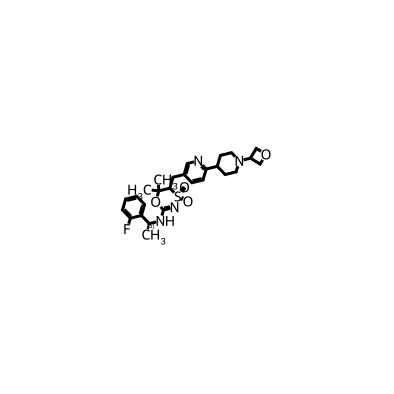 C[C@H](NC1=NS(=O)(=O)C(Cc2ccc(C3CCN(C4COC4)CC3)nc2)C(C)(C)O1)c1ccccc1F